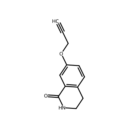 C#CCOc1ccc2c(c1)C(=O)NCC2